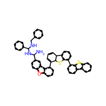 NC(NC(NCc1ccccc1)c1ccccc1)c1ccc2oc3cccc(C4=CC=CC5c6cccc(-c7cccc8c7sc7ccccc78)c6SC45)c3c2c1